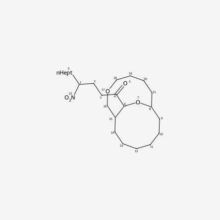 [CH2]CCCCCCC(CCC(=O)[C]1OC2CCCCCCC1COCCCC2)[N+](=O)[O-]